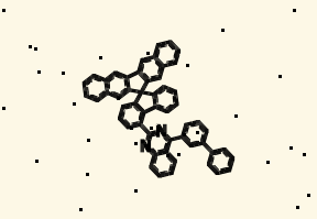 c1ccc(-c2cccc(-c3nc(-c4cccc5c4-c4ccccc4C54c5cc6ccccc6cc5-c5cc6ccccc6cc54)nc4ccccc34)c2)cc1